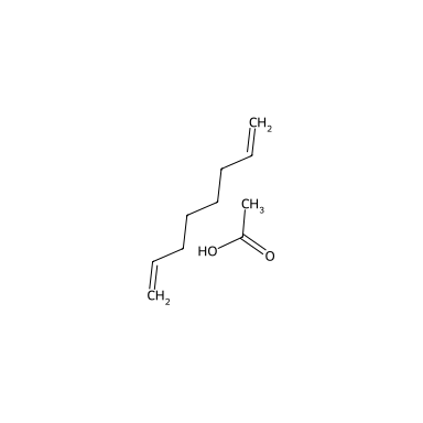 C=CCCCCC=C.CC(=O)O